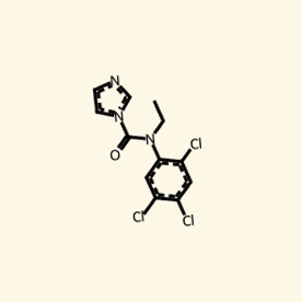 CCN(C(=O)n1ccnc1)c1cc(Cl)c(Cl)cc1Cl